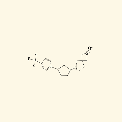 [O-][S+]1CC2(CCN(C3CCC(c4ccc(C(F)(F)F)cc4)C3)C2)C1